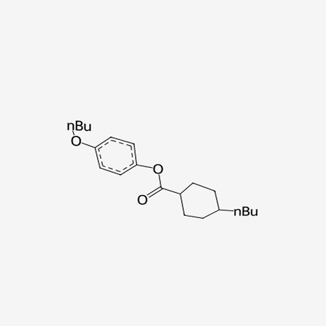 CCCCOc1ccc(OC(=O)C2CCC(CCCC)CC2)cc1